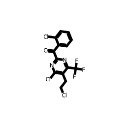 O=C(c1nc(Cl)c(CCCl)c(C(F)(F)F)n1)c1ccccc1Cl